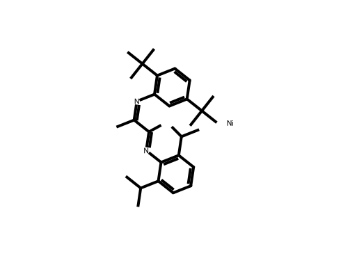 CC(=Nc1cc(C(C)(C)C)ccc1C(C)(C)C)C(C)=Nc1c(C(C)C)cccc1C(C)C.[Ni]